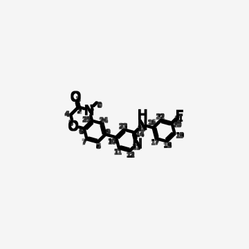 CN1C(=O)COc2ccc(-c3ccnc(Nc4cccc(F)c4)c3)cc21